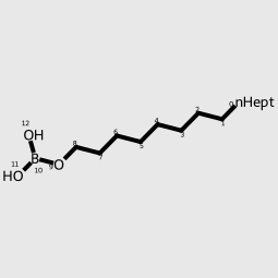 CCCCCCCCCCCCCCCOB(O)O